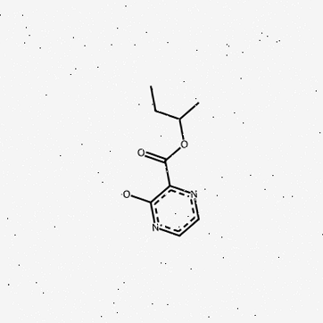 CCC(C)OC(=O)c1nccnc1[O]